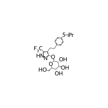 CC(C)Sc1ccc(CCc2c(O[C@@H]3O[C@H](CO)[C@@H](O)[C@H](O)[C@H]3O)n[nH]c2C(F)(F)F)cc1